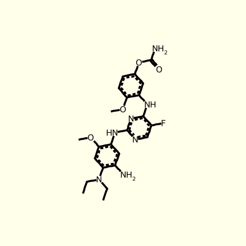 CCN(CC)c1cc(OC)c(Nc2ncc(F)c(Nc3cc(OC(N)=O)ccc3OC)n2)cc1N